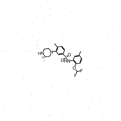 Cc1ccc(OC(F)F)c(NS(=O)(=O)c2ccc(C)c(N3CCN[C@@H](C)C3)c2)c1